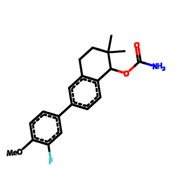 COc1ccc(-c2ccc3c(c2)CCC(C)(C)C3OC(N)=O)cc1F